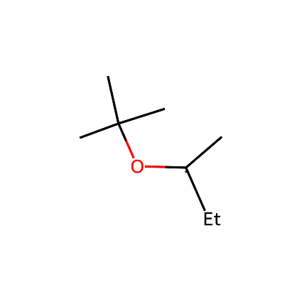 CC[C](C)OC(C)(C)C